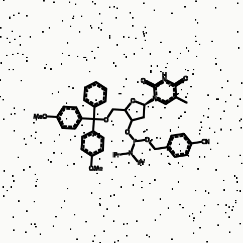 COc1ccc(C(OCC2O[C@@H](n3cc(C)c(=O)[nH]c3=O)CC2OP(OCc2ccc(C#N)cc2)N(C(C)C)C(C)C)(c2ccccc2)c2ccc(OC)cc2)cc1